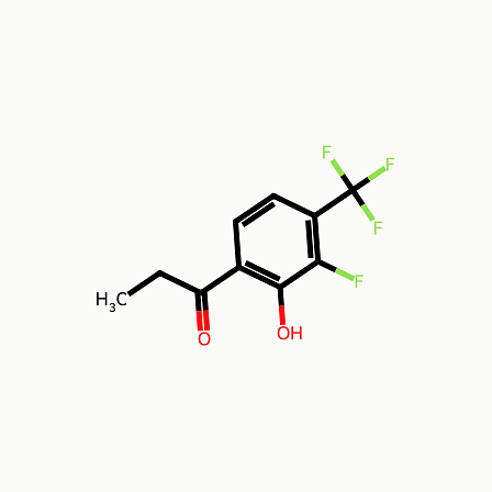 CCC(=O)c1ccc(C(F)(F)F)c(F)c1O